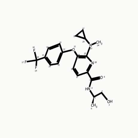 C[C@H](CO)NC(=O)c1ccc(Oc2ccc(C(F)(F)F)cc2)c(N(C)C2CC2)n1